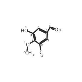 COc1c(O)cc(C=O)cc1Cl